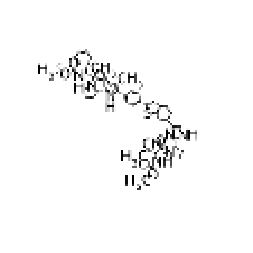 COC(=O)N[C@H](C(=O)N1CCC[C@H]1c1nc(-c2ccc3cc(-c4ccc(-c5[nH]c([C@@H]6CCCN6C(=O)[C@H](NC(=O)OC)C6(C)C=CC=CC6)nc5C)cc4)sc3c2)c[nH]1)C(C)C